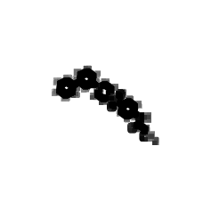 C=CC(=O)Nc1ccc(S(=O)(=O)N2CCN(c3cccc(-c4ccccc4)c3)CC2)cc1